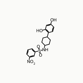 O=[N+]([O-])c1cccc(S(=O)(=O)NC2CCC(c3ccc(O)cc3O)CC2)c1